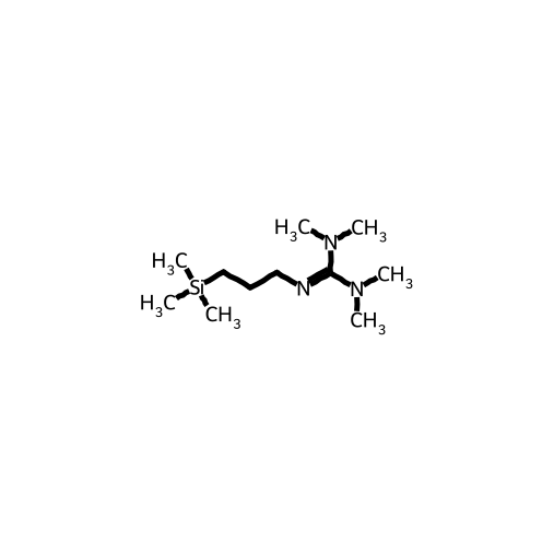 CN(C)C(=NCCC[Si](C)(C)C)N(C)C